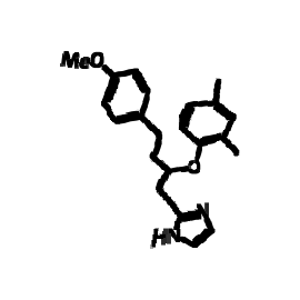 COc1ccc(CCC(Cc2ncc[nH]2)Oc2ccc(C)cc2C)cc1